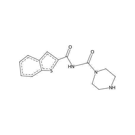 O=C(NC(=O)N1CCNCC1)c1cc2ccccc2s1